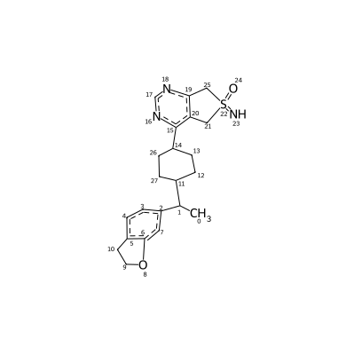 CC(c1ccc2c(c1)OCC2)C1CCC(c2ncnc3c2CS(=N)(=O)C3)CC1